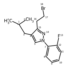 C[C](C)Cc1cn(-c2ccccc2F)nc1CCBr